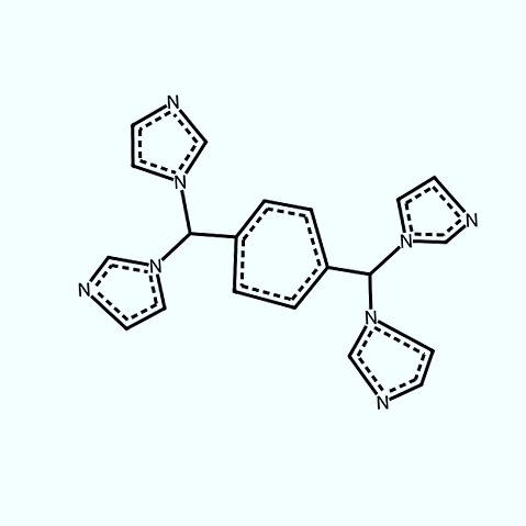 c1cn(C(c2ccc(C(n3ccnc3)n3ccnc3)cc2)n2ccnc2)cn1